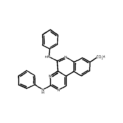 O=C(O)c1ccc2c(c1)nc(Nc1ccccc1)c1nc(Nc3ccccc3)ncc12